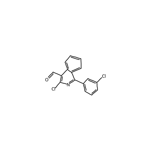 O=Cc1c(Cl)nc(-c2cccc(Cl)c2)c2ccccc12